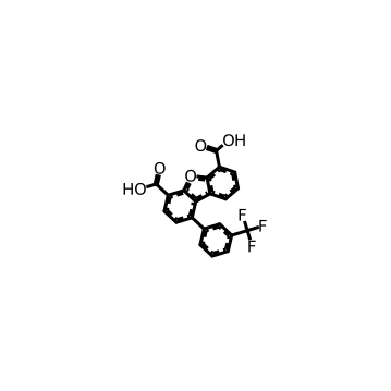 O=C(O)c1cccc2c1oc1c(C(=O)O)ccc(-c3cccc(C(F)(F)F)c3)c12